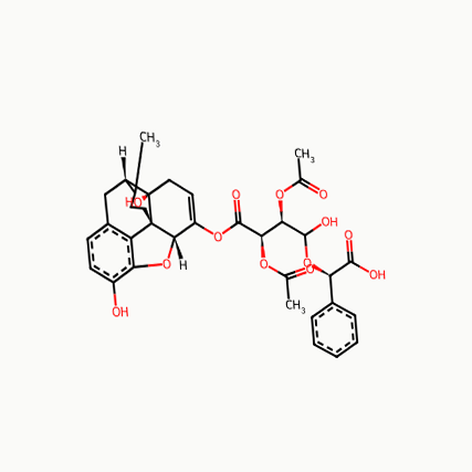 CC(=O)O[C@@H](C(=O)OC1=CC[C@@]2(O)[C@H]3Cc4ccc(O)c5c4[C@@]2(CCC3C)[C@H]1O5)[C@@H](OC(C)=O)C(O)O[C@@H](C(=O)O)c1ccccc1